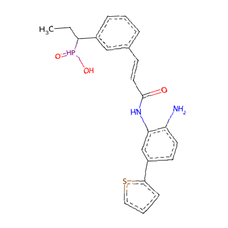 CCC(c1cccc(C=CC(=O)Nc2cc(-c3cccs3)ccc2N)c1)[PH](=O)O